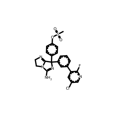 CS(=O)(=O)Oc1ccc(C2(c3cccc(-c4cc(Cl)cnc4F)c3)N=C(N)N3CCN=C32)cc1